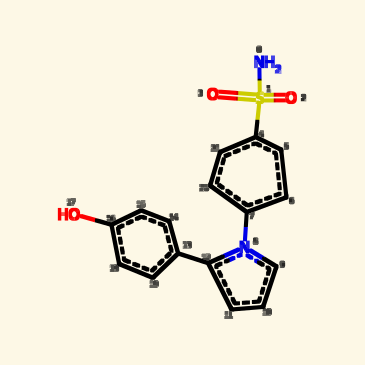 NS(=O)(=O)c1ccc(-n2cccc2-c2ccc(O)cc2)cc1